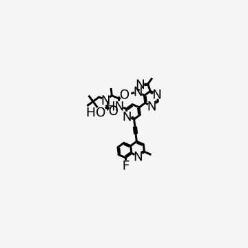 Cc1cc(C#Cc2cc(-c3ncnc4c(C)nn(C)c34)cc(NC(=O)C(C)N(CC(C)(C)C)C(=O)O)n2)c2cccc(F)c2n1